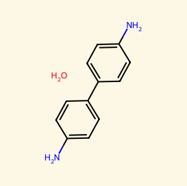 Nc1ccc(-c2ccc(N)cc2)cc1.O